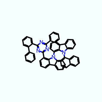 c1ccc(-c2nc(-c3ccccc3-c3ccccc3)nc(-c3cccc4c5ccccc5n(-c5cccc6c7ccccc7n(-c7cccc8ccccc78)c56)c34)n2)cc1